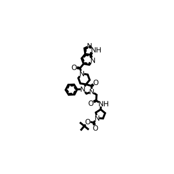 CC(C)(C)OC(=O)N1CCC(NC(=O)CN2CN(c3ccccc3)C3(CCN(C(=O)c4cnc5[nH]ncc5c4)CC3)C2=O)C1